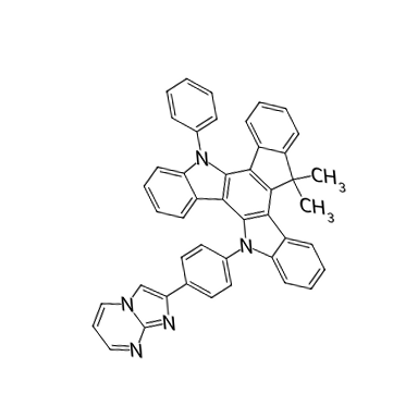 CC1(C)c2ccccc2-c2c1c1c3ccccc3n(-c3ccc(-c4cn5cccnc5n4)cc3)c1c1c3ccccc3n(-c3ccccc3)c21